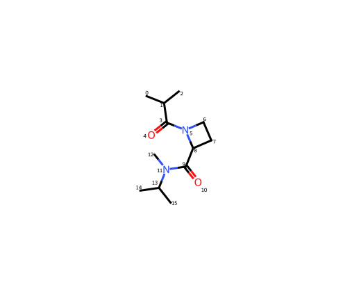 CC(C)C(=O)N1CCC1C(=O)N(C)C(C)C